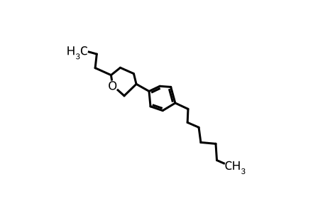 CCCCCCCc1ccc(C2CCC(CCC)OC2)cc1